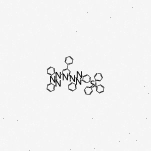 c1ccc(-c2cc(-n3c4ccccc4n4c5ccccc5nc34)nc(-n3c4ccccc4n4c5cc([Si](c6ccccc6)(c6ccccc6)c6ccccc6)ccc5nc34)c2)cc1